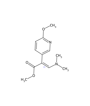 COC(=O)/C(=C/N(C)C)c1ccc(OC)nc1